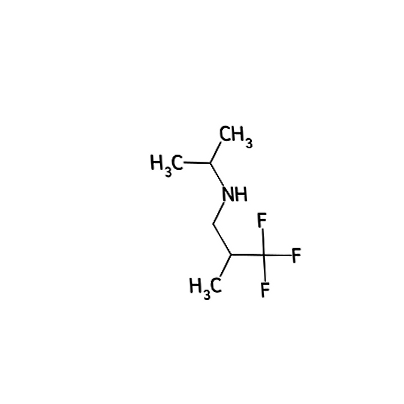 CC(C)NCC(C)C(F)(F)F